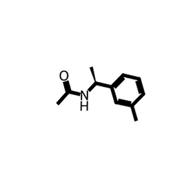 CC(=O)N[C@@H](C)c1cccc(C)c1